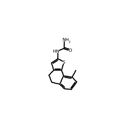 Cc1cccc2c1-c1sc(NC(N)=O)cc1CC2